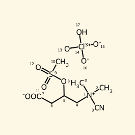 C[N+](C)(C#N)CC(CC(=O)[O-])OS(C)(=O)=O.[O-][Cl+3]([O-])([O-])O